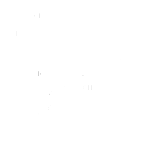 C=C(c1ccc(F)cc1)c1ccc(CC=C(C)C)c(O)c1C(=O)OOC1CCCCCC1